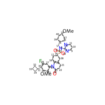 COc1ccc(CN(c2ncccn2)S(=O)(=O)c2ccc3c(ccc(=O)n3-c3cc(F)c(C4CCC4)cc3OC)c2)cc1